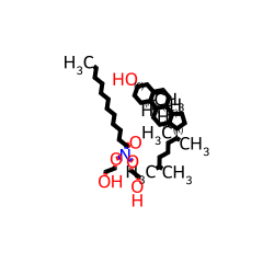 CC(C)CCCC(C)[C@H]1CC[C@H]2[C@@H]3CC=C4C[C@@H](O)CC[C@]4(C)[C@H]3CC[C@]12C.CCCCCCCCCCCC(=O)N(OCCO)OCCO